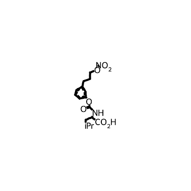 CC(C)CC(NC(=O)Oc1cccc(CCCO[N+](=O)[O-])c1)C(=O)O